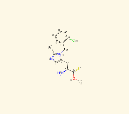 CCCc1ncc(C[C@H](N)C(=S)OCC)n1Cc1ccccc1Cl